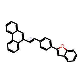 C(=C\c1cc2ccccc2c2ccccc12)/c1ccc(-c2cc3ccccc3o2)cc1